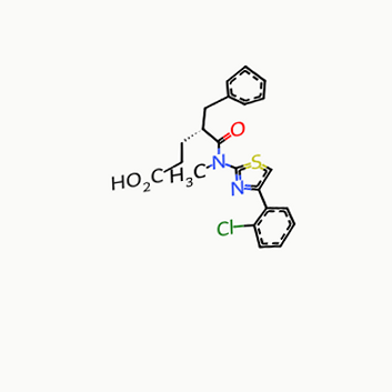 CN(C(=O)[C@H](CCC(=O)O)Cc1ccccc1)c1nc(-c2ccccc2Cl)cs1